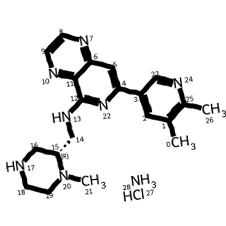 Cc1cc(-c2cc3nccnc3c(NC[C@H]3CNCCN3C)n2)cnc1C.Cl.N